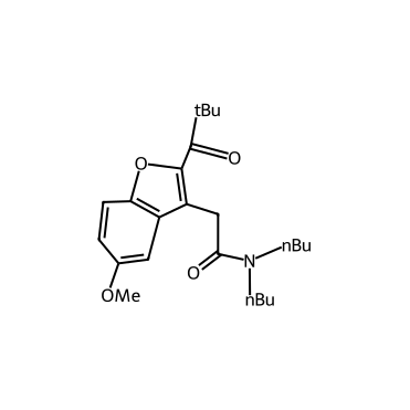 CCCCN(CCCC)C(=O)Cc1c(C(=O)C(C)(C)C)oc2ccc(OC)cc12